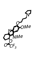 CNc1c2c(nc3cc(OCCCN4CCCC4)c(OC)cc13)CCCC2OC(=O)C(F)(F)F